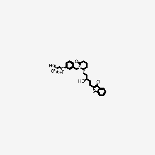 O=C1CCC[C@H](CCC(O)CCc2sc3ccccc3c2Cl)N1Cc1cccc(OCP(=O)(O)O)c1